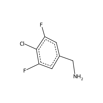 NCc1cc(F)c(Cl)c(F)c1